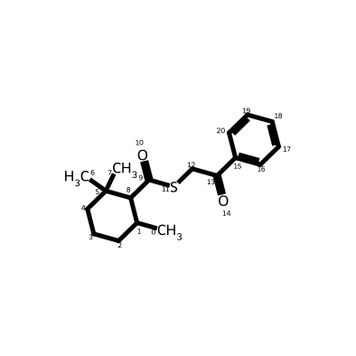 CC1CCCC(C)(C)C1C(=O)SCC(=O)c1ccccc1